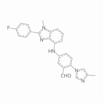 Cc1cn(-c2ccc(Nc3cccc4c3nc(-c3ccc(F)cc3)n4C)cc2C=O)cn1